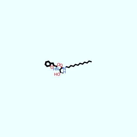 CCCCCCCCCCCCNC(=O)[C@@H](NC(=O)c1cc2ccccc2o1)[C@@H](C)O